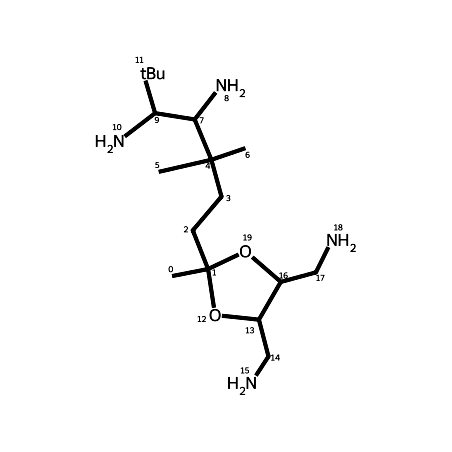 CC1(CCC(C)(C)C(N)C(N)C(C)(C)C)OC(CN)C(CN)O1